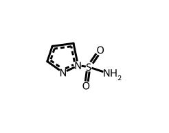 NS(=O)(=O)n1cccn1